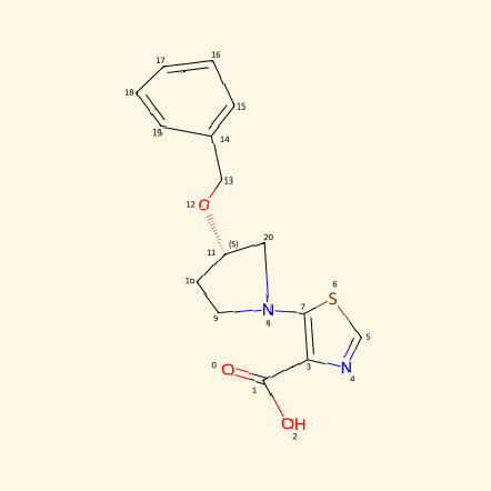 O=C(O)c1ncsc1N1CC[C@H](OCc2ccccc2)C1